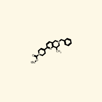 CC1CN(Cc2ccccc2)Cc2ccc(C3=CCN(C(=O)OC(C)(C)C)CC3)nc21